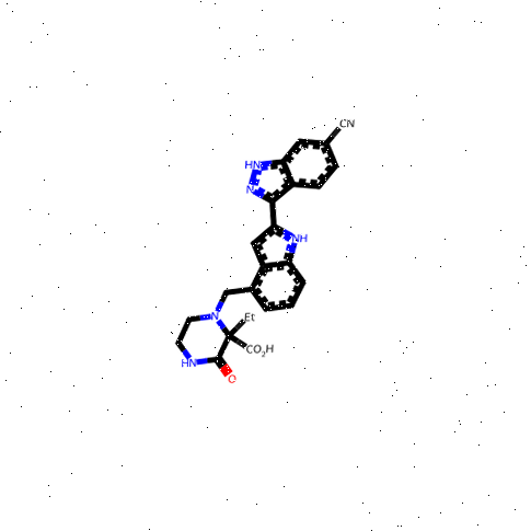 CCC1(C(=O)O)C(=O)NCCN1Cc1cccc2[nH]c(-c3n[nH]c4cc(C#N)ccc34)cc12